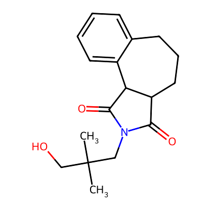 CC(C)(CO)CN1C(=O)C2CCCc3ccccc3C2C1=O